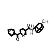 O=C(N[C@H]1C2CC3CC1C[C@](O)(C3)C2)c1ccc(C(=O)c2ccccc2)nc1